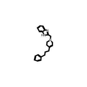 C1=C(CCCc2ccccc2)CCN(Cc2nc3ccccc3[nH]2)C1